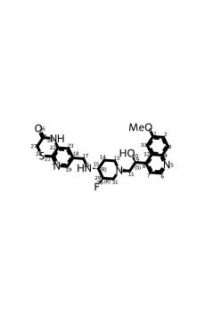 COc1ccc2nccc([C@H](O)CN3CC[C@@H](NCc4cnc5c(c4)NC(=O)CS5)[C@H](F)C3)c2c1